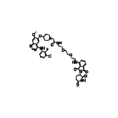 COc1cc2ncnc(Nc3cccc(Cl)c3F)c2cc1OC1CCN(CC(=O)NCCOCCOCCNc2cccc3c2C(=O)N(C2CCC(=O)NC2=O)C3=O)CC1